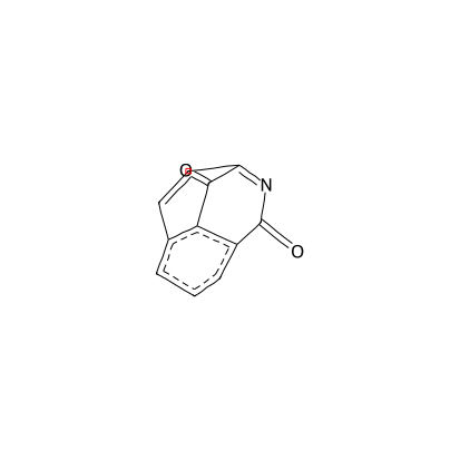 O=C1N=C2C=Cc3cccc1c3C2=O